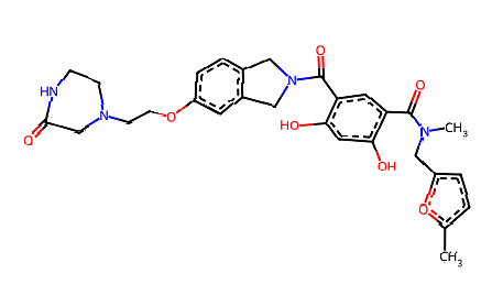 Cc1ccc(CN(C)C(=O)c2cc(C(=O)N3Cc4ccc(OCCN5CCNC(=O)C5)cc4C3)c(O)cc2O)o1